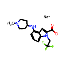 CN1CCC(Nc2cccc3c2cc(C(=O)[O-])n3CC(F)(F)F)CC1.[Na+]